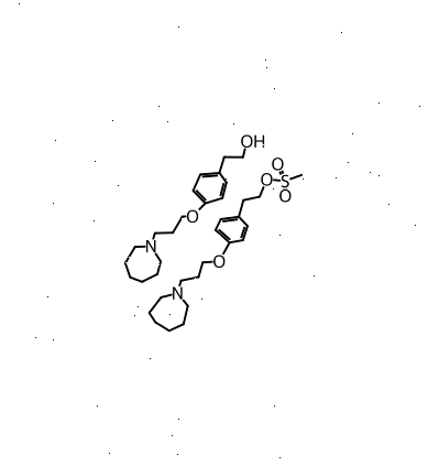 CS(=O)(=O)OCCc1ccc(OCCCN2CCCCCC2)cc1.OCCc1ccc(OCCCN2CCCCCC2)cc1